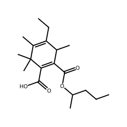 CCCC(C)OC(=O)C1=C(C(=O)O)C(C)(C)C(C)=C(CC)C1C